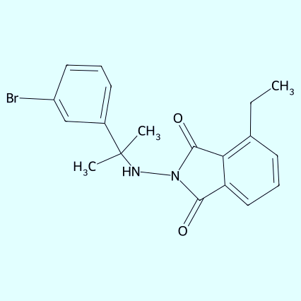 CCc1cccc2c1C(=O)N(NC(C)(C)c1cccc(Br)c1)C2=O